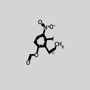 C/C=C\c1c(OC=O)ccc([N+](=O)[O-])c1I